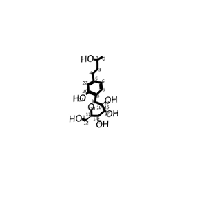 CC(O)CCc1ccc(C2O[C@H](CO)[C@@H](O)[C@H](O)[C@H]2O)c(O)c1